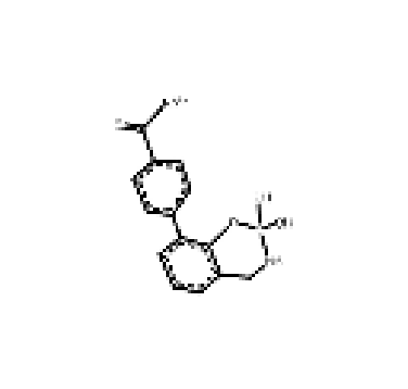 CNC(=O)c1ccc(-c2cccc3c2OS(O)(O)NC3)cc1